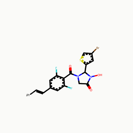 CC(C)/C=C/c1cc(F)c(C(=O)N2CC(=O)N(O)C2c2cc(Br)cs2)c(F)c1